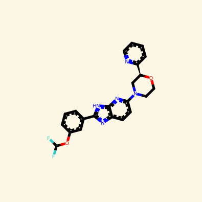 FC(F)Oc1cccc(-c2nc3ccc(N4CCO[C@H](c5ccccn5)C4)nc3[nH]2)c1